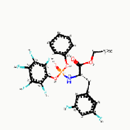 CCCCCCCCCCCOC(=O)[C@H](Cc1cc(F)cc(F)c1)NP(=O)(Oc1ccccc1)Oc1c(F)c(F)c(F)c(F)c1F